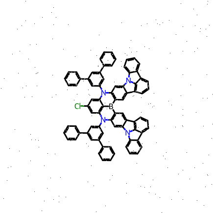 Clc1cc2c3c(c1)N(c1cc(-c4ccccc4)cc(-c4ccccc4)c1)c1cc4c(cc1B3c1cc3c5cccc6c7ccccc7n(c3cc1N2c1cc(-c2ccccc2)cc(-c2ccccc2)c1)c65)c1cccc2c3ccccc3n4c21